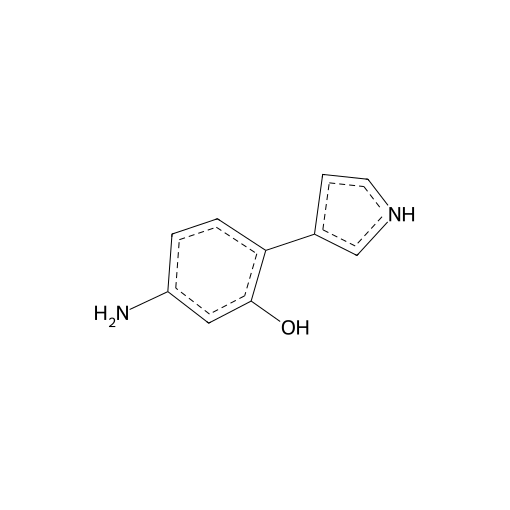 Nc1ccc(-c2cc[nH]c2)c(O)c1